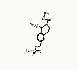 CCOC(=O)C1c2ccc(COS(C)(=O)=O)cc2CCN1C(=O)OC(C)(C)C